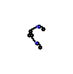 c1ccc(CC2CCN(CCCCCc3ccc4c(c3)-c3ccc(CCCCCN5CCC(Cc6ccccc6)CC5)c5cccc-4c35)CC2)cc1